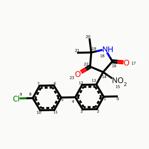 Cc1ccc(-c2ccc(Cl)cc2)cc1C1([N+](=O)[O-])C(=O)NC(C)(C)C1=O